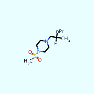 CCCC(C)(CC)CN1CCN(S(C)(=O)=O)CC1